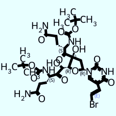 CC(C)(C)OC(=O)N[C@@H](CCC(N)=O)C(=O)C(O)[C@H]1O[C@@H](n2cc(/C=C/Br)c(=O)[nH]c2=O)C[C@@]1(O)C(=O)[C@H](CCC(N)=O)NC(=O)OC(C)(C)C